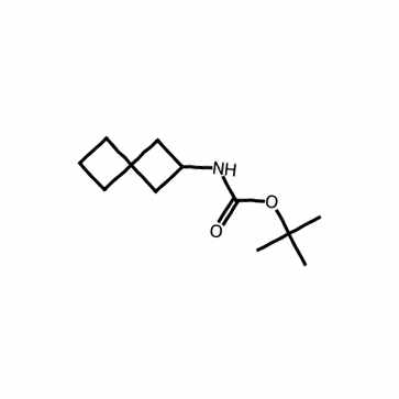 CC(C)(C)OC(=O)NC1CC2(CCC2)C1